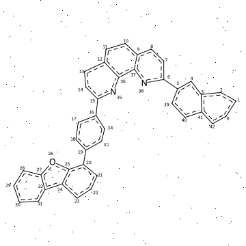 c1ccc2cc(-c3ccc4ccc5ccc(-c6ccc(-c7cccc8c7oc7ccccc78)cc6)nc5c4n3)ccc2c1